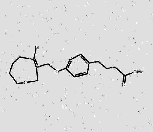 COC(=O)CCCc1ccc(OC/C2=C(\Br)CCCCCC2)cc1